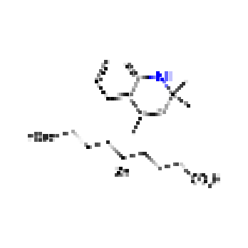 CC1=CC(C)(C)Nc2ccccc21.CCCCCCCCCCCCCCCCCC(=O)O.[Zn]